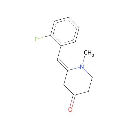 CN1CCC(=O)CC1=Cc1ccccc1F